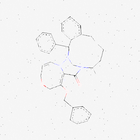 CC1CCCCc2ccccc2C(c2ccccc2)N2CN1C(=O)/C1=C(\OCc3ccccc3)COC/C=C\N12